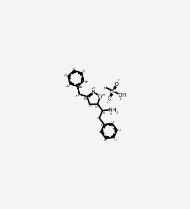 CS(=O)(=O)O.NC(Cc1ccccc1)C1CC(Cc2ccccc2)=NO1